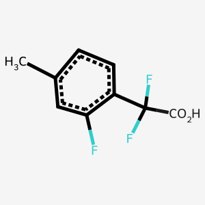 Cc1ccc(C(F)(F)C(=O)O)c(F)c1